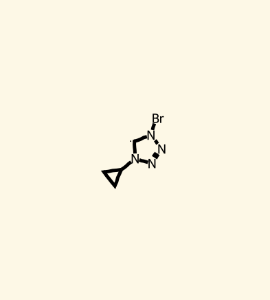 BrN1[CH]N(C2CC2)N=N1